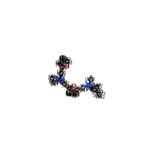 c1ccc(-c2nc(-c3ccc(-c4ccc5c(c4)Oc4cc(-c6ccc(-c7nc(-c8ccc(-c9ccc%10c(c9)Oc9ccccc9C%109c%10ccccc%10-c%10ccccc%109)cc8)nc(-c8cccc9ccccc89)n7)cc6)ccc4C54c5ccccc5-c5ccccc54)cc3)nc(-c3ccc(-c4ccccc4)c4ccccc34)n2)cc1